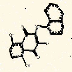 O=C1C(Cl)=C(Nc2cccc3ccccc23)C(=O)c2c(O)ccc(O)c21